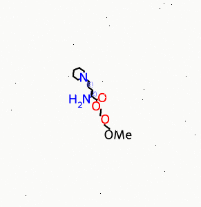 COCCOCCOC(=O)/C(N)=C/C=C/N1CCCCC1